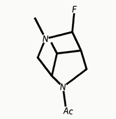 CC(=O)N1CC2C(C)C1CN(C)C2F